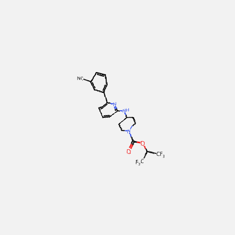 N#Cc1cccc(-c2cccc(NC3CCN(C(=O)OC(C(F)(F)F)C(F)(F)F)CC3)n2)c1